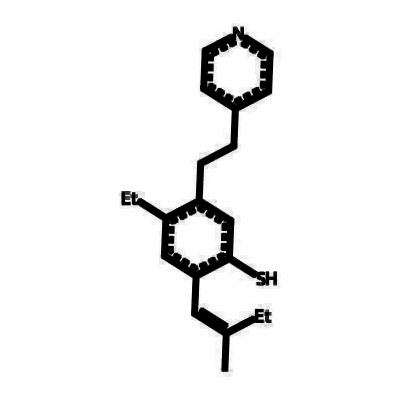 CC/C(C)=C\c1cc(CC)c(CCc2ccncc2)cc1S